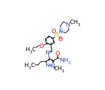 CCCc1nn(C)c(C(N)=O)c1N=Cc1cc(S(=O)(=O)N2CCN(C)CC2)ccc1OCC